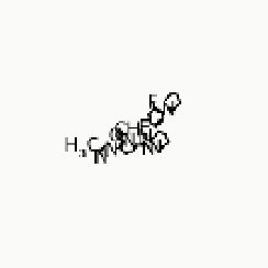 COc1nc(-c2nc3n(n2)CCC[C@@H]3c2cc(N3CCCCC3)c(F)cc2F)ccc1-n1cnc(C)c1